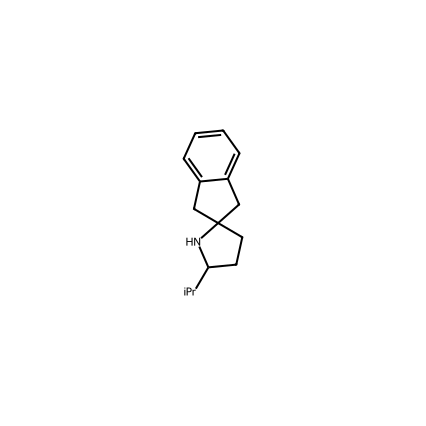 CC(C)C1CCC2(Cc3ccccc3C2)N1